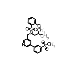 CC(C)CN(Cc1cncc(-c2cccc(S(C)(=O)=O)c2)c1)S(=O)(=O)c1ccccc1Cl